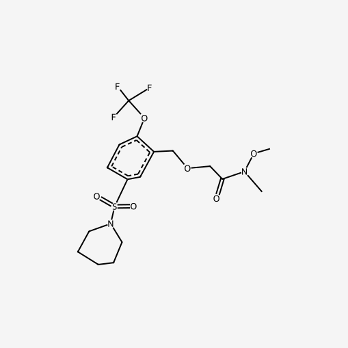 CON(C)C(=O)COCc1cc(S(=O)(=O)N2CCCCC2)ccc1OC(F)(F)F